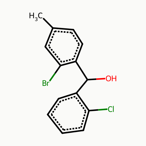 Cc1ccc(C(O)c2ccccc2Cl)c(Br)c1